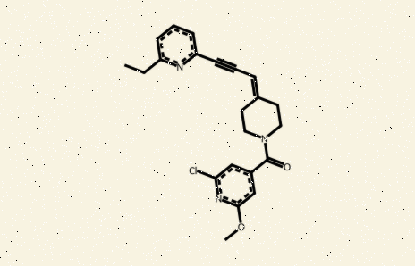 CCc1cccc(C#CC=C2CCN(C(=O)c3cc(Cl)nc(OC)c3)CC2)n1